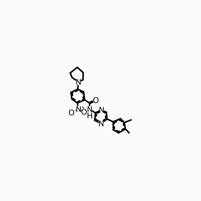 Cc1ccc(-c2cnc(NC(=O)c3cc(N4CCCCC4)ccc3[N+](=O)[O-])cn2)cc1C